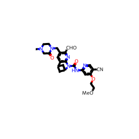 COCCOc1cc(NC(=O)N2c3nc(C=O)c(CN4CCN(C)CC4=O)cc3C3CC2C3)ncc1C#N